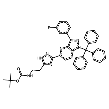 CC(C)(C)OC(=O)NCCc1nc(-c2ccc3c(n2)c(-c2cccc(F)c2)nn3C(c2ccccc2)(c2ccccc2)c2ccccc2)n[nH]1